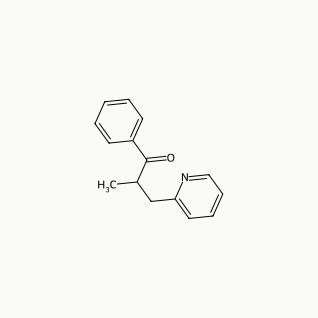 CC(Cc1ccccn1)C(=O)c1ccccc1